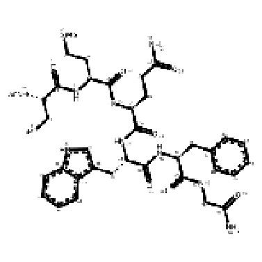 CSCC[C@H](NC(=O)[C@H](CC(C)C)NC(C)=O)C(=O)N[C@@H](CCC(N)=O)C(=O)N[C@@H](Cc1c[nH]c2ccccc12)C(=O)N[C@@H](Cc1ccccc1)C(=O)NCC(N)=O